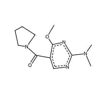 COc1nc(N(C)C)ncc1C(=O)N1CCCC1